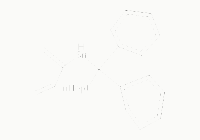 C=C[C](=C)[SnH2][C](CCCCCCC)(c1ccccc1)c1ccccc1